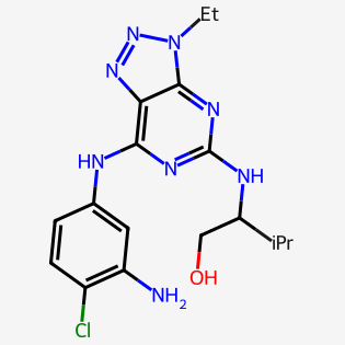 CCn1nnc2c(Nc3ccc(Cl)c(N)c3)nc(NC(CO)C(C)C)nc21